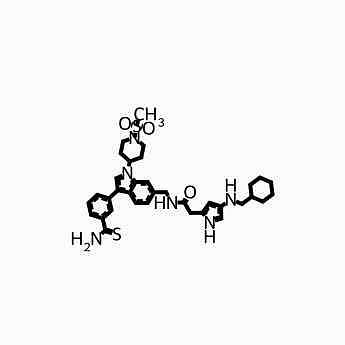 CS(=O)(=O)N1CCC(n2cc(-c3cccc(C(N)=S)c3)c3ccc(CNC(=O)Cc4cc(NCC5CCCCC5)c[nH]4)cc32)CC1